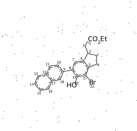 CCOC(=O)CC1CCc2c1cc(-c1ccc3ccccc3c1)c(O)c2Br